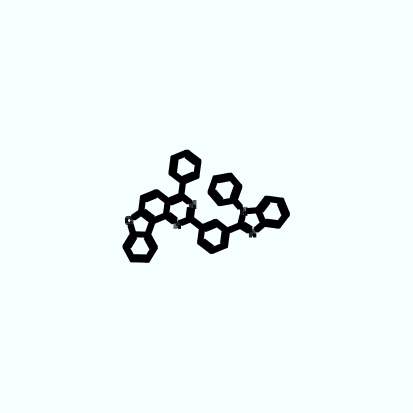 c1ccc(-c2nc(-c3cccc(-c4nc5ccccc5n4-c4ccccc4)c3)nc3c2ccc2oc4ccccc4c23)cc1